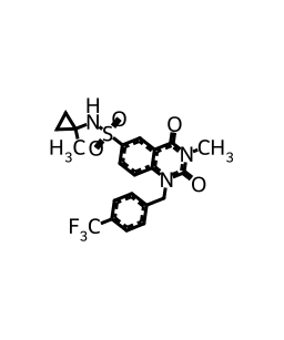 Cn1c(=O)c2cc(S(=O)(=O)NC3(C)CC3)ccc2n(Cc2ccc(C(F)(F)F)cc2)c1=O